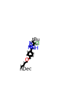 CCCCCCCCCCCCCCOCc1ccc(-c2nn3nc(C(C)(C)C)c(Cl)c3[nH]2)cc1